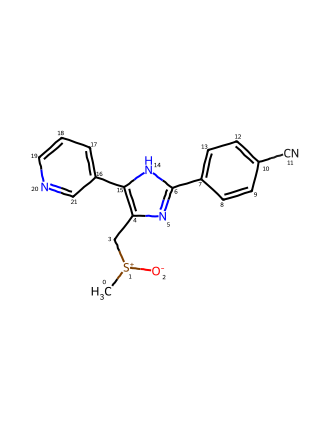 C[S+]([O-])Cc1nc(-c2ccc(C#N)cc2)[nH]c1-c1cccnc1